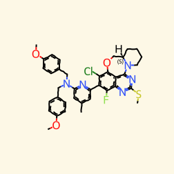 COc1ccc(CN(Cc2ccc(OC)cc2)c2cc(C)cc(-c3c(Cl)c4c5c(nc(SC)nc5c3F)N3CCCC[C@H]3CO4)n2)cc1